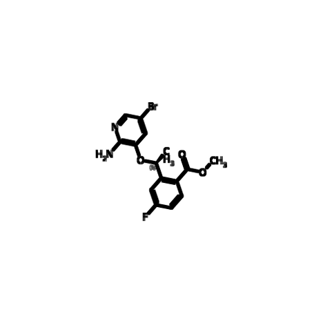 COC(=O)c1ccc(F)cc1[C@H](C)Oc1cc(Br)cnc1N